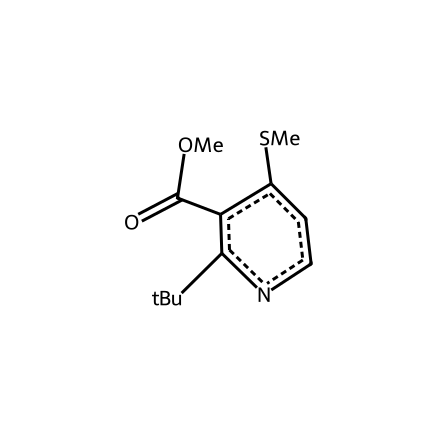 COC(=O)c1c(SC)ccnc1C(C)(C)C